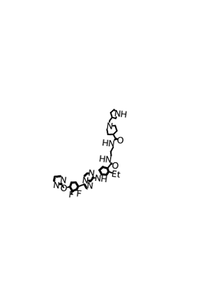 CCc1cc(Nc2nccn3c(-c4ccc(Oc5ncccn5)c(F)c4F)cnc23)ccc1C(=O)NCCCNC(=O)C1CCN(CC2CCNC2)CC1